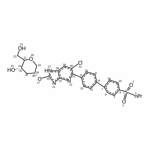 CCCS(=O)(=O)c1ccc(-c2ccc(-c3nc4nc(O[C@H]5COC(CO)[C@@H](O)C5)[nH]c4cc3Cl)cc2)cc1